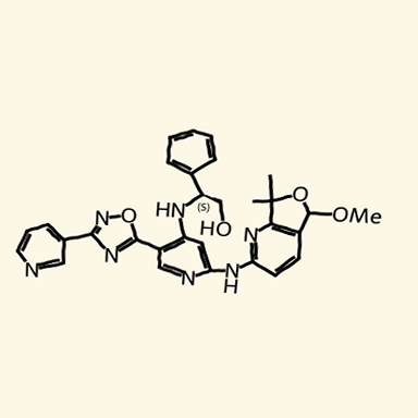 COC1OC(C)(C)c2nc(Nc3cc(N[C@H](CO)c4ccccc4)c(-c4nc(-c5cccnc5)no4)cn3)ccc21